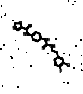 O=C(Nc1ccc(NC(=S)NCCc2ccc(F)c(Cl)c2)cc1)c1cscn1